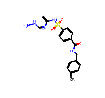 C=C(/N=C\NN)NS(=O)(=O)c1ccc(C(=O)NCc2ccc(C(F)(F)F)cc2)cc1